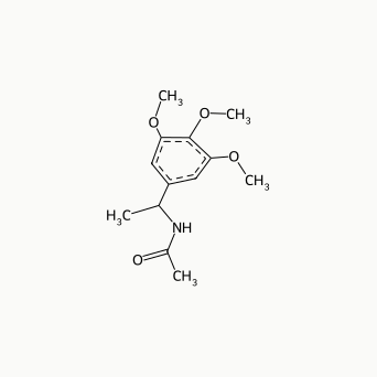 COc1cc(C(C)NC(C)=O)cc(OC)c1OC